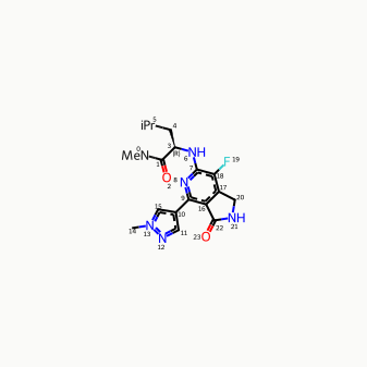 CNC(=O)[C@@H](CC(C)C)Nc1nc(-c2cnn(C)c2)c2c(c1F)CNC2=O